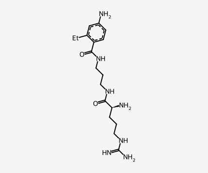 CCc1cc(N)ccc1C(=O)NCCCNC(=O)[C@@H](N)CCCNC(=N)N